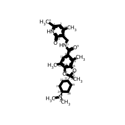 Cc1cc(C)c(CNC(=O)c2cc(C)c3c(c2C)OC(C)([C@H]2CC[C@H](N(C)C)CC2)O3)c(=O)[nH]1